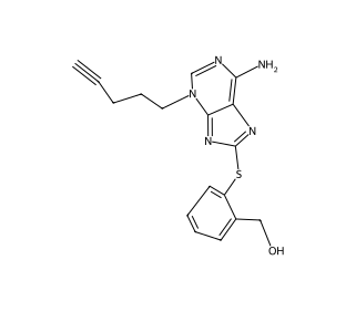 C#CCCCn1cnc(N)c2nc(Sc3ccccc3CO)nc1-2